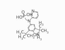 CC(C)(C)c1cc(N(CP(=O)(O)O)c2cccnc2)cc(C(C)(C)C)c1O